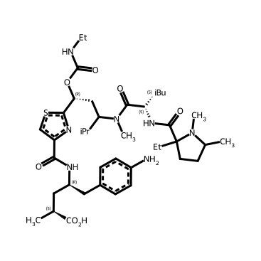 CCNC(=O)O[C@H](CC(C(C)C)N(C)C(=O)[C@@H](NC(=O)C1(CC)CCC(C)N1C)[C@@H](C)CC)c1nc(C(=O)N[C@@H](Cc2ccc(N)cc2)C[C@H](C)C(=O)O)cs1